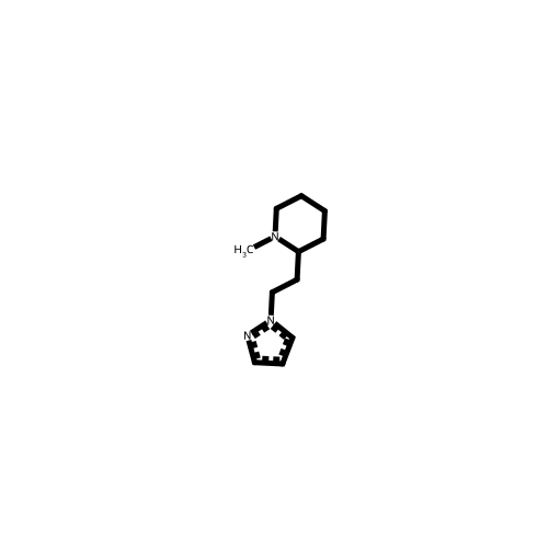 CN1CCCCC1CCn1cccn1